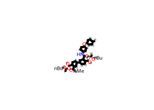 CCCCOC(C)OC(=O)c1ccc(-c2ccc(C(=O)OC(C)OCCCC)c(C(=O)Nc3ccc(Oc4ccc(C)cc4)cc3)c2)cc1C(=O)NC